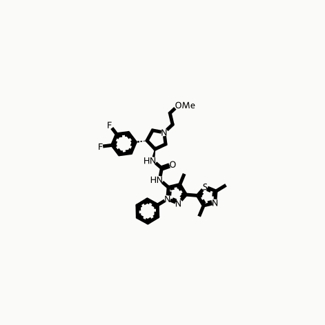 COCCN1C[C@@H](NC(=O)Nc2c(C)c(-c3sc(C)nc3C)nn2-c2ccccc2)[C@H](c2ccc(F)c(F)c2)C1